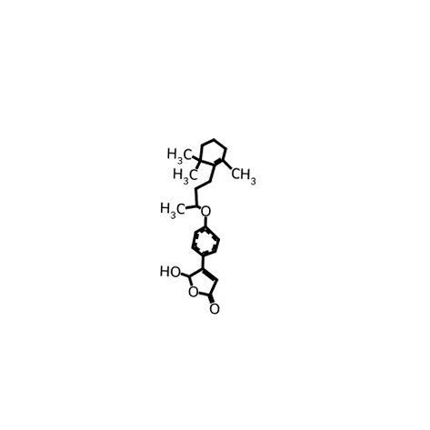 CC1=C(CCC(C)Oc2ccc(C3=CC(=O)OC3O)cc2)C(C)(C)CCC1